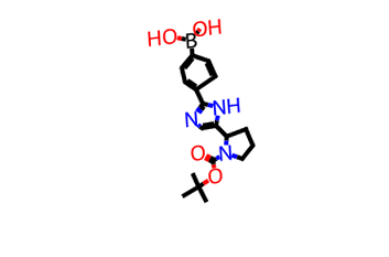 CC(C)(C)OC(=O)N1CCCC1c1cnc(-c2ccc(B(O)O)cc2)[nH]1